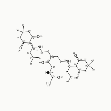 CC(C)CC(NCCN(CCNC(CC(C)C)=C1C(=O)CC(C)(C)CC1=O)C(=O)CNC(=O)O)=C1C(=O)CC(C)(C)CC1=O